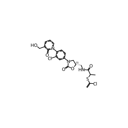 C=C(Cl)SC(C)C(=O)NC[C@H]1CN(c2ccc(-n3cccc(CO)c3=O)c(Cl)c2)C(=O)O1